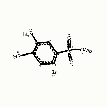 COS(=O)(=O)c1ccc(S)c(N)c1.[Zn]